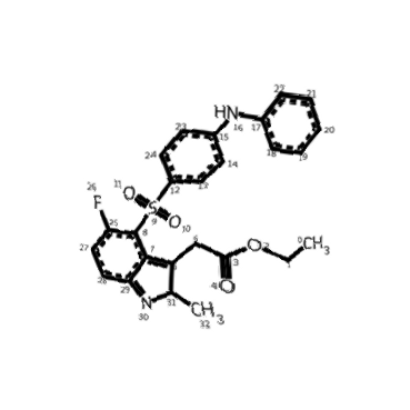 CCOC(=O)CC1=c2c(S(=O)(=O)c3ccc(Nc4ccccc4)cc3)c(F)ccc2=NC1C